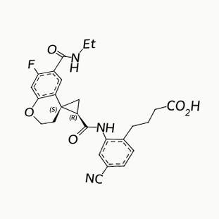 CCNC(=O)c1cc2c(cc1F)OCC[C@]21C[C@H]1C(=O)Nc1cc(C#N)ccc1CCCC(=O)O